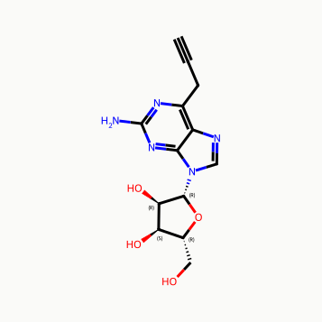 C#CCc1nc(N)nc2c1ncn2[C@@H]1O[C@H](CO)[C@@H](O)[C@H]1O